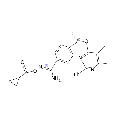 Cc1nc(Cl)nc(O[C@@H](C)c2ccc(/C(N)=N/OC(=O)C3CC3)cc2)c1C